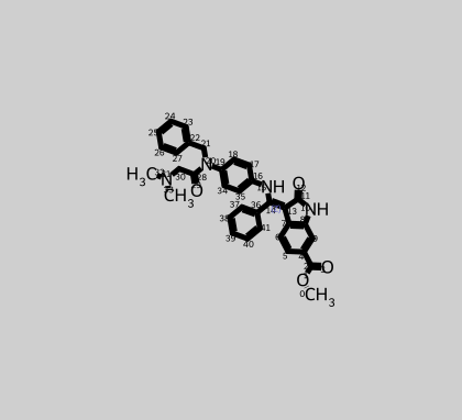 COC(=O)c1ccc2c(c1)NC(=O)/C2=C(\Nc1ccc(N(Cc2ccccc2)C(=O)CN(C)C)cc1)c1ccccc1